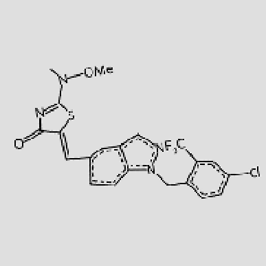 CON(C)C1=NC(=O)C(=Cc2ccc3c(cnn3Cc3ccc(Cl)cc3C(F)(F)F)c2)S1